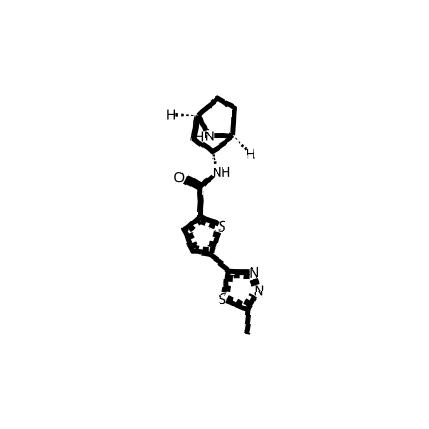 Cc1nnc(-c2ccc(C(=O)N[C@@H]3C[C@H]4CC[C@@H]3N4)s2)s1